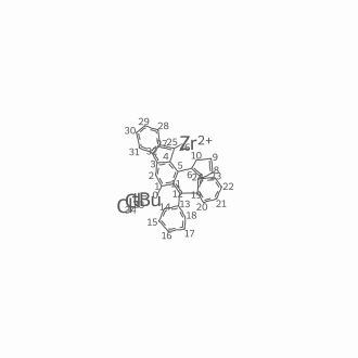 CC(C)(C)c1cc2c(c(C3=CC=CC3)c1=C(c1ccccc1)c1ccccc1)[C]([Zr+2])=c1ccccc1=2.[Cl-].[Cl-]